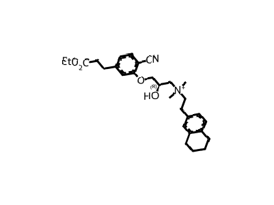 CCOC(=O)CCc1ccc(C#N)c(OC[C@H](O)C[N+](C)(C)CCc2ccc3c(c2)CCCC3)c1